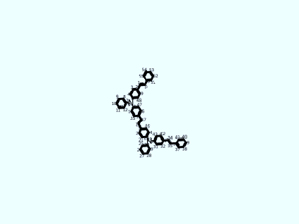 C(=C\c1ccc(N(c2ccccc2)c2ccc(/C=C/c3ccc(N(c4ccccc4)c4ccc(/C=C/c5ccccc5)cc4)cc3)cc2)cc1)/c1ccccc1